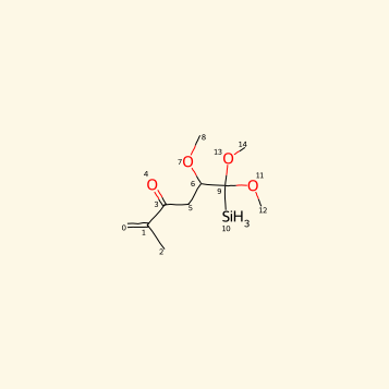 C=C(C)C(=O)CC(OC)C([SiH3])(OC)OC